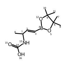 CC(/C=C/B1OC(C)(C)C(C)(C)O1)NC(=O)O